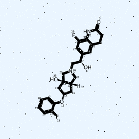 O=C1CCc2cc([C@H](O)CN3C[C@@H]4C[C@@H](Oc5ccccc5F)C[C@]4(O)C3)cc(F)c2N1